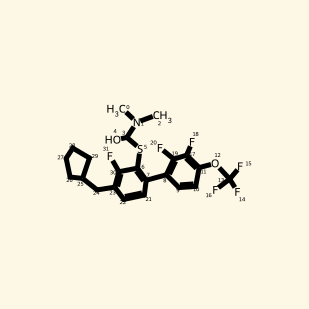 CN(C)C(O)Sc1c(-c2ccc(OC(F)(F)F)c(F)c2F)ccc(CC2CCCC2)c1F